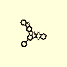 c1ccc(-c2cc3c4cc5c(cc4n4c6nc7ccccc7nc6c(c2)c34)sc2ccccc25)cc1